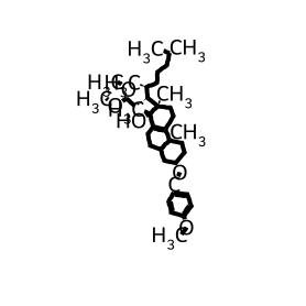 COc1ccc(CO[C@H]2CC[C@]3(C)C4=C(CCC3C2)C(C)(O)[C@@](C)([C@H](CC(OC)OC)[C@H](C)CCCC(C)C)CC4)cc1